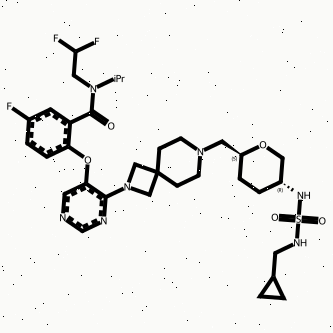 CC(C)N(CC(F)F)C(=O)c1cc(F)ccc1Oc1cncnc1N1CC2(CCN(C[C@@H]3CC[C@@H](NS(=O)(=O)NCC4CC4)CO3)CC2)C1